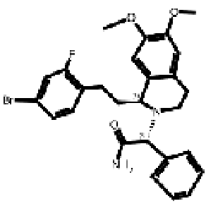 COc1cc2c(cc1OC)[C@H](CCc1ccc(Br)cc1F)N([C@@H](C(N)=O)c1ccccc1)CC2